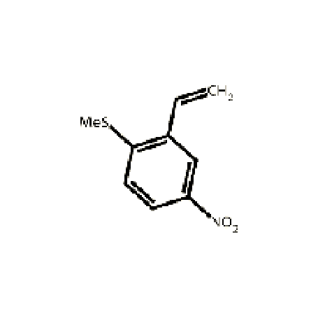 C=Cc1cc([N+](=O)[O-])ccc1SC